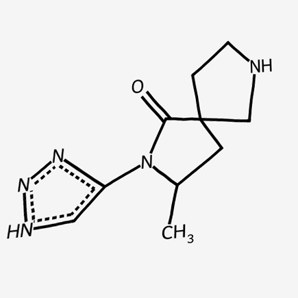 CC1CC2(CCNC2)C(=O)N1c1c[nH]nn1